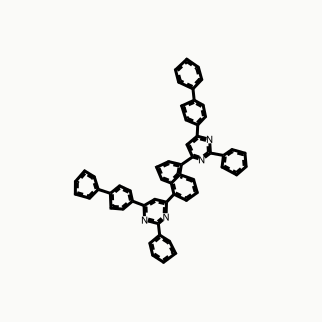 c1ccc(-c2ccc(-c3cc(-c4cccc5c(-c6cc(-c7ccc(-c8ccccc8)cc7)nc(-c7ccccc7)n6)cccc45)nc(-c4ccccc4)n3)cc2)cc1